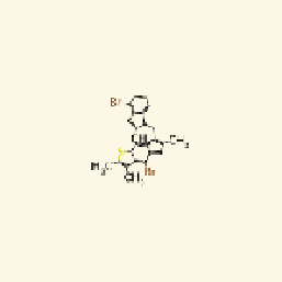 CC1=Cc2c(Br)cccc2C1CC1=C(C)C=C2C1=CC1SC(C)=C(C)C1=C2Br